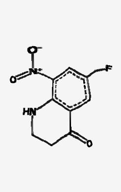 O=C1CCNc2c1cc(F)cc2[N+](=O)[O-]